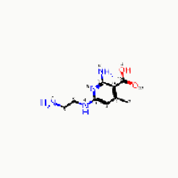 Cc1cc(NCCN)nc(N)c1C(=O)O